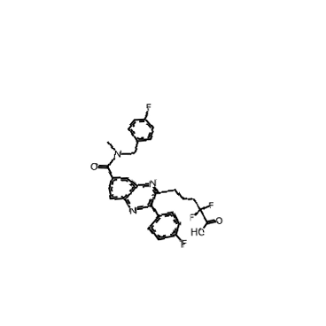 CN(Cc1ccc(F)cc1)C(=O)c1ccc2nc(-c3ccc(F)cc3)c(CCCC(F)(F)C(=O)O)nc2c1